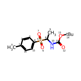 Cc1ccc(S(=O)(=O)C(C)NC(=O)OC(C)(C)C)cc1